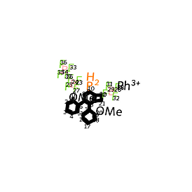 COc1ccccc1-c1cc(P)c2c(c1-c1ccccc1OC)CC2.F[B-](F)(F)F.F[B-](F)(F)F.F[B-](F)(F)F.[Rh+3]